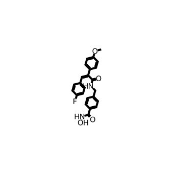 COc1ccc(C(=Cc2ccc(F)cc2)C(=O)NCc2ccc(C(=O)NO)cc2)cc1